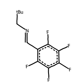 CC(C)(C)C/N=C/c1c(F)c(F)c(F)c(F)c1F